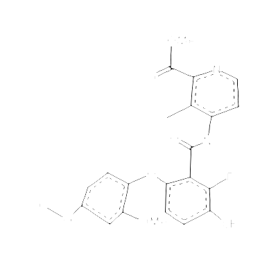 COC(=O)c1nccc(NC(=O)c2c(Oc3ccc(OC(F)(F)F)cc3OC)ccc(C(F)(F)F)c2F)c1C